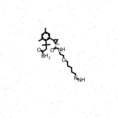 BC(=O)CC(C)(C)c1c(C)cc(C)cc1C1C[C@@H]1C(=O)NCCOCCCCCN=N